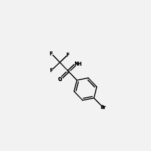 N=S(=O)(c1ccc(Br)cc1)C(F)(F)F